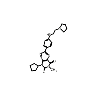 Cn1c(=O)c2nc(-c3ccc(NCCN4CCCC4)cc3)nnc2n(C2CCCC2)c1=O